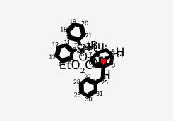 CCOC(=O)N1[C@H]2C[C@@H]3C[C@H]1[C@@H](O[Si](c1ccccc1)(c1ccccc1)C(C)(C)C)C2N(Cc1ccccc1)C3